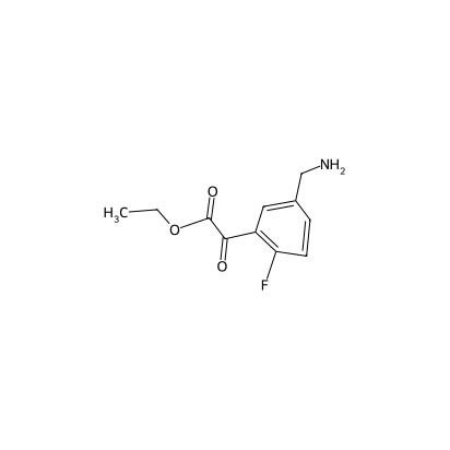 CCOC(=O)C(=O)c1cc(CN)ccc1F